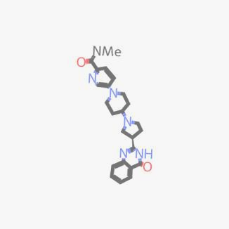 CNC(=O)c1ccc(N2CCC(N3CC[C@@H](c4nc5ccccc5c(=O)[nH]4)C3)CC2)cn1